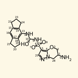 NC1COc2c(S(=O)(=O)NC(O)Nc3c4c(cc5c3CCC5)CCC4)cnn2C1